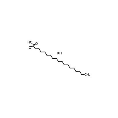 CCCCCCCCCCCCCCCCCCS(=O)(=O)O.[KH]